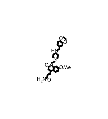 COc1ccc2c(C=CC(N)=O)cc(=O)n(CCN3CCC(NCc4ccc5c(c4)OCCO5)CC3)c2c1